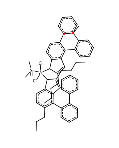 CCCCC1=Cc2c(ccc(CCC)c2-c2ccccc2-c2ccccc2)[CH]1[Zr]([Cl])([Cl])([CH]1C(CCCC)=Cc2c1ccc(CCC)c2-c1ccccc1-c1ccccc1)[SiH](C)C